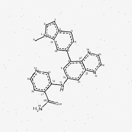 Cn1ccc2ccc(-c3cc(Nc4cnccc4C(N)=O)cc4nccnc34)cc21